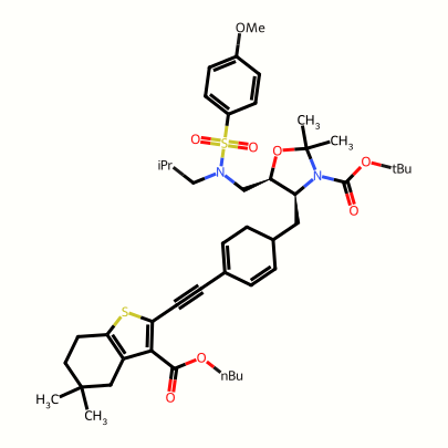 CCCCOC(=O)c1c(C#CC2=CCC(C[C@H]3[C@@H](CN(CC(C)C)S(=O)(=O)c4ccc(OC)cc4)OC(C)(C)N3C(=O)OC(C)(C)C)C=C2)sc2c1CC(C)(C)CC2